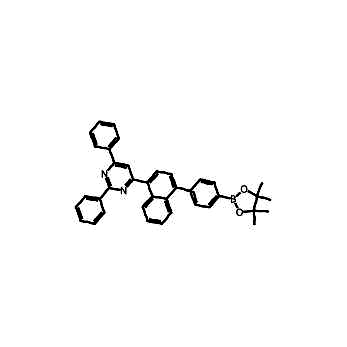 CC1(C)OB(c2ccc(-c3ccc(-c4cc(-c5ccccc5)nc(-c5ccccc5)n4)c4ccccc34)cc2)OC1(C)C